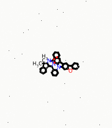 CC1(C)c2ccccc2-c2c(-c3ccccc3-n3c4ccccc4c4cc5c(cc43)oc3ccccc35)nc(-c3ccccc3)nc21